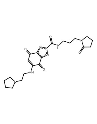 O=C(NCCCN1CCCC1=O)c1nc2c(s1)C(=O)C=C(NCCN1CCCC1)C2=O